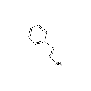 N/N=C/c1ccccc1